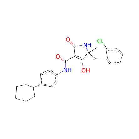 CC1(Cc2ccccc2Cl)NC(=O)C(C(=O)Nc2ccc(C3CCCCC3)cc2)=C1O